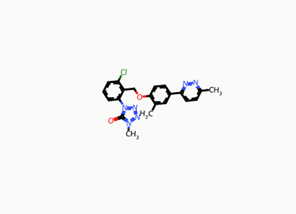 Cc1ccc(-c2ccc(OCc3c(Cl)cccc3-n3nnn(C)c3=O)c(C)c2)nn1